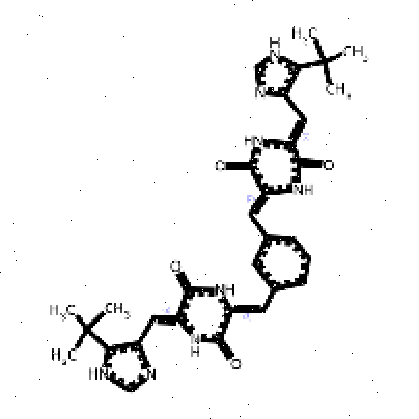 CC(C)(C)c1[nH]cnc1/C=c1\[nH]c(=O)/c(=C/c2cccc(/C=c3\[nH]c(=O)/c(=C/c4nc[nH]c4C(C)(C)C)[nH]c3=O)c2)[nH]c1=O